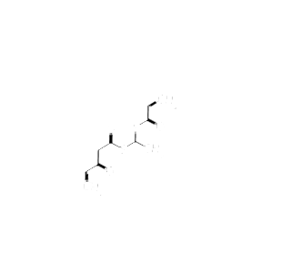 C=CC(=O)CC(=O)SC(C)SC(=O)C=C